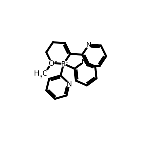 C[O+]1CCC=C(c2ccccn2)[B-]1(c1ccccn1)c1ccccn1